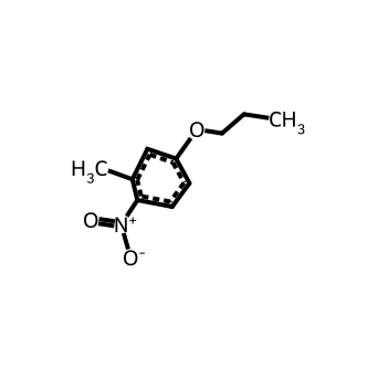 CCCOc1ccc([N+](=O)[O-])c(C)c1